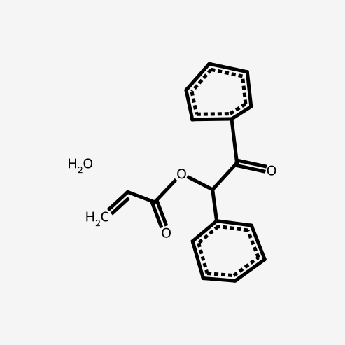 C=CC(=O)OC(C(=O)c1ccccc1)c1ccccc1.O